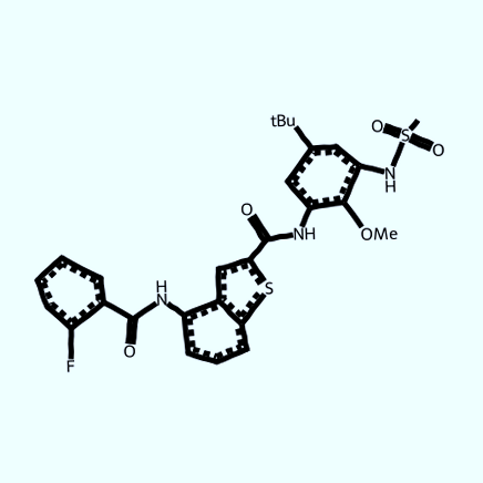 COc1c(NC(=O)c2cc3c(NC(=O)c4ccccc4F)cccc3s2)cc(C(C)(C)C)cc1NS(C)(=O)=O